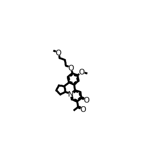 COCCCOc1cc2c(cc1OC)-c1cc(=O)c(C(C)=O)cn1C1CCCC21